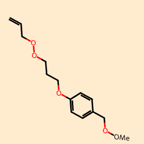 C=CCOOCCCOc1ccc(COOC)cc1